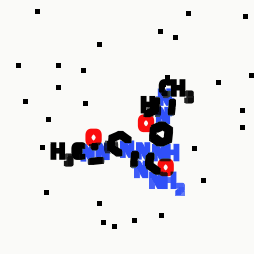 CN1CCN2c3ccc(Nc4nc(N5CCC[C@@H](N6CCN(C)C6=O)C5)cnc4C(N)=O)cc3OC[C@@H]2C1